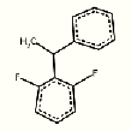 CC(c1ccccc1)c1c(F)cccc1F